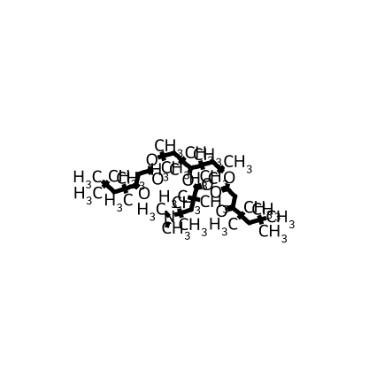 CN(C)C(C)(C)CC(C)(C)C(=O)OC(C(C)(C)CC(C)(C)OC(=O)CC(=O)C(C)(C)CC(C)(C)C)C(C)(C)CC(C)(C)OC(=O)CC(=O)C(C)(C)CC(C)(C)C